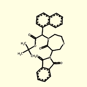 CC(C)(C)OC(=O)C(c1cccc2ccccc12)N1CCSCC(N2C(=O)c3ccccc3C2=O)C1=O